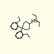 CCNCC.CCc1ccccc1C1(c2ccccc2CC)CCC(C)CC1